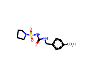 O=C(NCc1ccc(C(=O)O)cc1)NS(=O)(=O)N1CCCC1